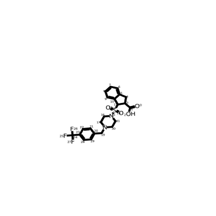 O=C(O)C1Cc2ccccc2C1S(=O)(=O)N1CCN(Cc2ccc(C(F)(F)F)cc2)CC1